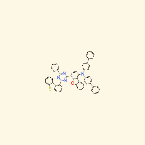 C1=c2oc3c(-c4nc(-c5ccccc5)nc(-c5cccc6sc7ccccc7c56)n4)ccc(N(c4ccc(-c5ccccc5)cc4)c4ccc(-c5ccccc5)cc4)c3c2=CCC1